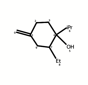 C=C1CCC(O)(C(C)C)C(CC)C1